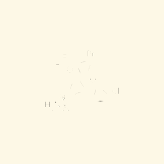 NS(=O)(=O)Cc1ccc2c(c1)C(c1cccc(Cl)c1)Oc1cc(Br)cc(OC(F)F)c1-2